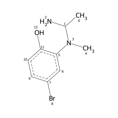 CC(N)N(C)c1cc(Br)ccc1O